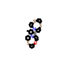 Cc1cc2c3c(c1)N1c4cccc(c4)Sc4cccc(c4)Sc4ccc(c1c4)B3c1ccc3cc1N2c1cccc(c1)Sc1cccc(c1)O3